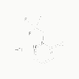 Cl.O=c1cccnn1CC(F)(F)F